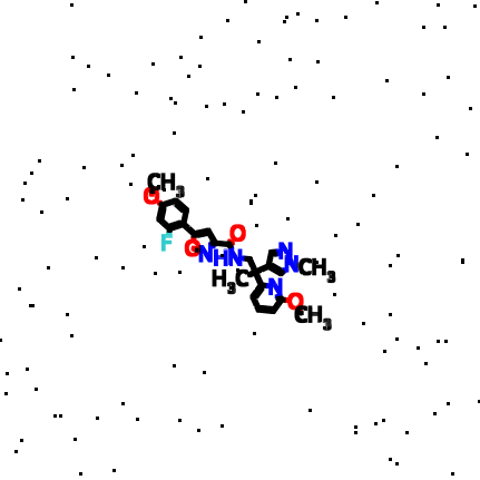 COc1ccc(-c2cc(C(=O)NCC(C)(c3cnn(C)c3)c3cccc(OC)n3)no2)c(F)c1